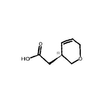 O=C(O)C[C@H]1C=CCOC1